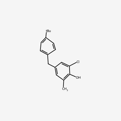 Cc1cc(Cc2ccc(C(C)(C)C)cc2)cc(Cl)c1O